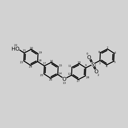 O=S(=O)(c1ccccc1)c1ccc(Oc2ccc(-c3ccc(O)cc3)cc2)cc1